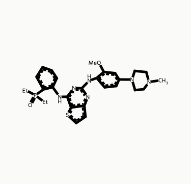 CCP(=O)(CC)c1ccccc1Nc1nc(Nc2ccc(N3CCN(C)CC3)cc2OC)nc2ccsc12